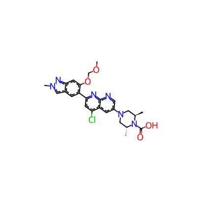 COCOc1cc2nn(C)cc2cc1-c1cc(Cl)c2cc(N3C[C@@H](C)N(C(=O)O)[C@H](C)C3)cnc2n1